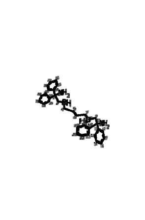 NC(CBCCCCBCC(N)(c1ccccc1)c1ccccc1)(c1ccccc1)c1ccccc1